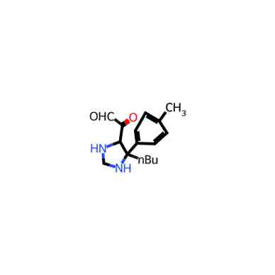 CCCCC1(c2ccc(C)cc2)NCNC1C(=O)C=O